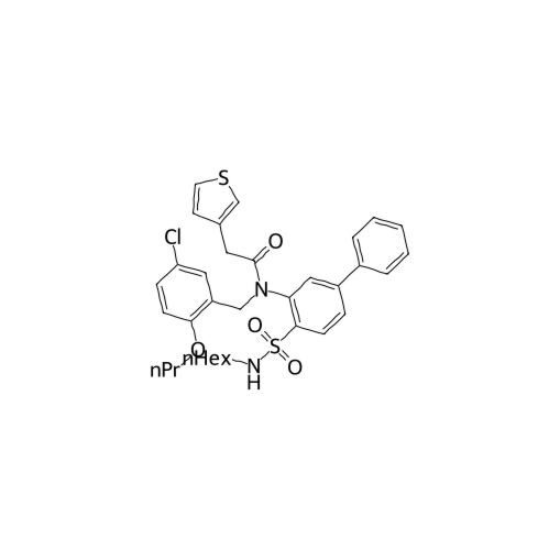 CCCCCCNS(=O)(=O)c1ccc(-c2ccccc2)cc1N(Cc1cc(Cl)ccc1OCCC)C(=O)Cc1ccsc1